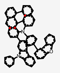 c1ccc(-c2cccc3cccc(-c4ccccc4N(c4ccc(-c5cccc6oc7ccccc7c56)cc4)c4ccccc4-c4ccc5c6ccccc6n(-c6ccccc6)c5c4)c23)cc1